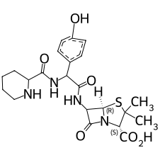 CC1(C)S[C@@H]2C(NC(=O)C(NC(=O)C3CCCCN3)c3ccc(O)cc3)C(=O)N2[C@H]1C(=O)O